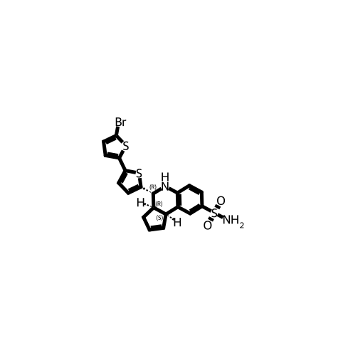 NS(=O)(=O)c1ccc2c(c1)[C@H]1C=CC[C@H]1[C@H](c1ccc(-c3ccc(Br)s3)s1)N2